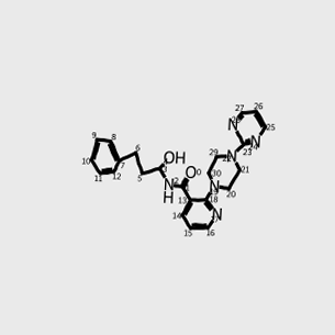 O=C(NC(O)CCc1ccccc1)c1cccnc1N1CCN(c2ncccn2)CC1